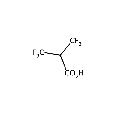 O=C(O)C(C(F)(F)F)C(F)(F)F